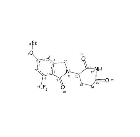 CCOc1cc2c(c(C(F)(F)F)c1)C(=O)N(C1CCC(=O)NC1=O)C2